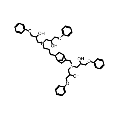 OC(COc1ccccc1)CN(CCCC1CC2CC1CC2CN(CC(O)COc1ccccc1)CC(O)COc1ccccc1)CC(O)COc1ccccc1